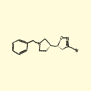 BrC1=NO[C@@H]([C@@H]2CCN(Cc3ccccc3)C2)C1